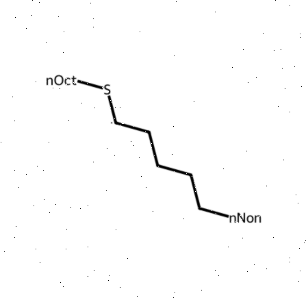 CCCCCCCCCCCCC[CH]SCCCCCCCC